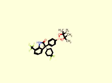 CC1(C)OB(c2ccc([C@]3(C4CCC(F)(F)CC4)C(=O)Nc4c(C(F)(F)F)cccc43)cc2)OC1(C)C